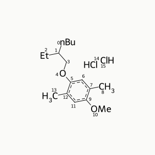 CCCCC(CC)COc1cc(C)c(OC)cc1C.Cl.Cl